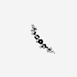 CC(=O)NC[C@H]1CN(c2ccc(N3CCN(C(=O)CNC(N)=S)CC3)c(F)c2)C(=O)O1